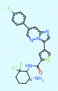 N[C@@H]1CCCC(F)(F)C1NC(=O)c1cc(-c2cnc3cc(-c4ccc(F)cc4)cnn23)cs1